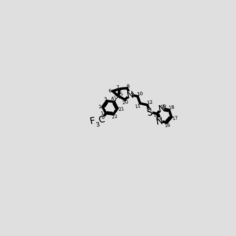 FC(F)(F)c1ccc([C@]23CC2CN(CCCSc2ncccn2)C3)cc1